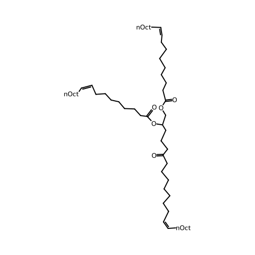 CCCCCCCC/C=C\CCCCCCCC(=O)CCCC(COC(=O)CCCCCCC/C=C\CCCCCCCC)OC(=O)CCCCCCC/C=C\CCCCCCCC